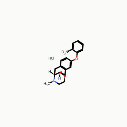 CN1CC[C@]23CCCC[C@H]2[C@H]1Cc1ccc(Oc2ccccc2[N+](=O)[O-])cc13.Cl